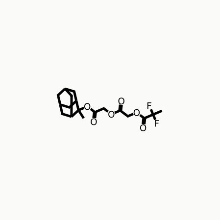 CC(F)(F)C(=O)OCC(=O)OCC(=O)OC1(C)C2CC3CC(C2)CC1C3